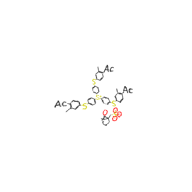 CC(=O)c1ccc(Sc2ccc([S+](c3ccc(Sc4ccc(C(C)=O)c(C)c4)cc3)c3ccc(Sc4ccc(C(C)=O)c(C)c4)cc3)cc2)cc1C.CC1(C)C2CCC1(CS(=O)(=O)[O-])C(=O)C2